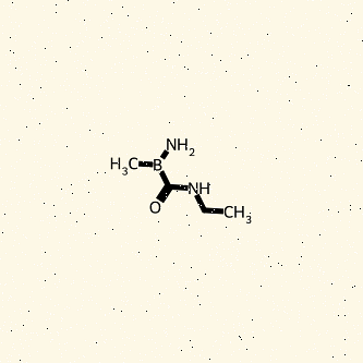 CCNC(=O)B(C)N